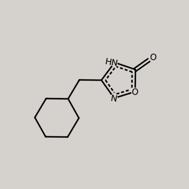 O=c1[nH]c(CC2CCCCC2)no1